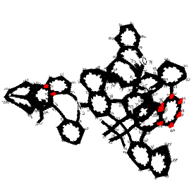 Cc1cccc(-c2ccccc2N(c2cc3c(c4ccccc24)-c2c(ccc4ccccc24)C3(C(C)(C)C)C2(C(C)(C)C)c3ccc4ccccc4c3-c3c2cc(N(c2ccccc2-c2cccc(C)c2C)c2cccc4c2oc2ccccc24)c2ccccc32)c2cccc3c2oc2ccccc23)c1C